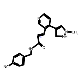 CN1C=C(c2ccncc2/C=C/C(=O)NCc2ccc(C#N)cc2)CN1